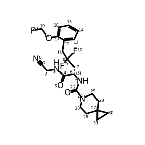 N#CCNC(=O)[C@H](CC(F)(F)Cc1ccccc1OCF)NC(=O)N1CCC2(CC1)CC2